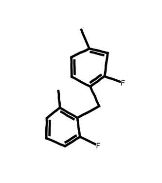 Cc1ccc(Cc2c(C)cccc2F)c(F)c1